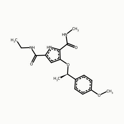 CCNC(=O)c1cc(O[C@H](C)c2ccc(OC)cc2)c(C(=O)NC)[nH]1